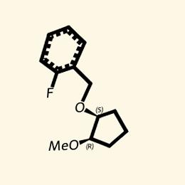 CO[C@@H]1CCC[C@@H]1OCc1ccccc1F